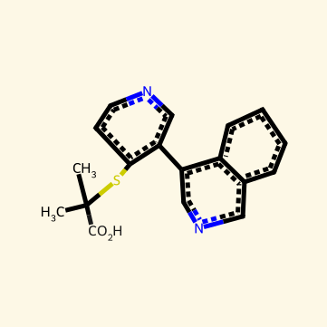 CC(C)(Sc1ccncc1-c1cncc2ccccc12)C(=O)O